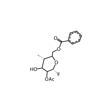 CC(=O)OC1C(O)[C@H](C)C(COC(=O)c2ccccc2)O[C@@H]1F